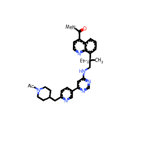 CC[C@](C)(CNc1cc(-c2ccc(CC3CCN(C(C)=O)CC3)nc2)ncn1)c1cccc2c(C(=O)NC)ccnc12